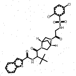 CC(C)(C)C(NC(=O)c1cc2ccccc2s1)C(=O)N1C[C@@H]2C[C@H]1CN2C(=O)CNS(=O)(=O)c1cc(Cl)ccc1Cl